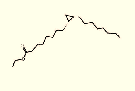 CCCCCCCC[C@H]1C[C@H]1CCCCCCCC(=O)OCC